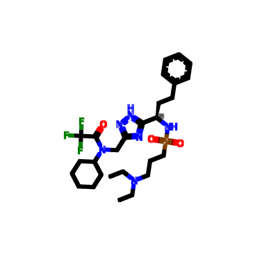 CCN(CC)CCCS(=O)(=O)N[C@H](CCc1ccccc1)c1nc(CN(C(=O)C(F)(F)F)C2CCCCC2)n[nH]1